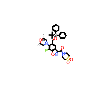 C[C@@H]1CN(c2c(CO[Si](c3ccccc3)(c3ccccc3)C(C)(C)C)cc3c(C(=O)N4CCS(=O)(=O)CC4)noc3c2F)C[C@H](C)O1